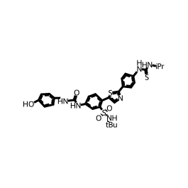 CC(C)NC(=S)Nc1ccc(-c2ncc(-c3ccc(NC(=O)NCc4ccc(O)cc4)cc3S(=O)(=O)NC(C)(C)C)s2)cc1